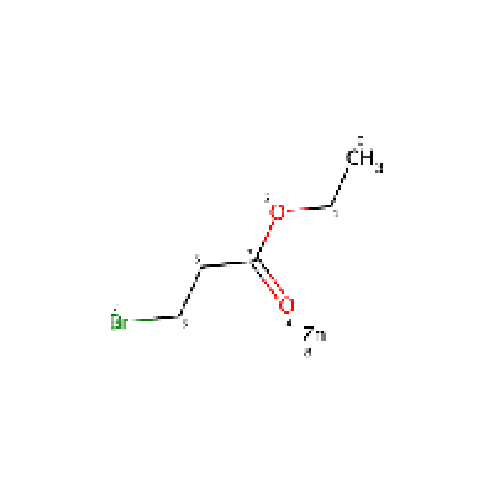 CCOC(=O)CCBr.[Zn]